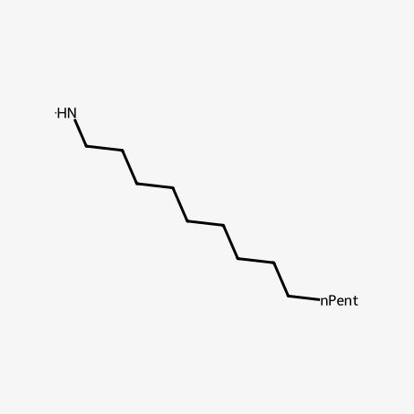 CCCCCCCCCCCCCC[NH]